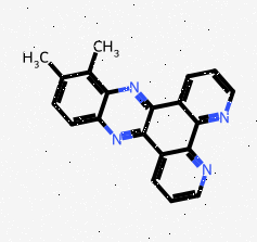 Cc1ccc2nc3c4cccnc4c4ncccc4c3nc2c1C